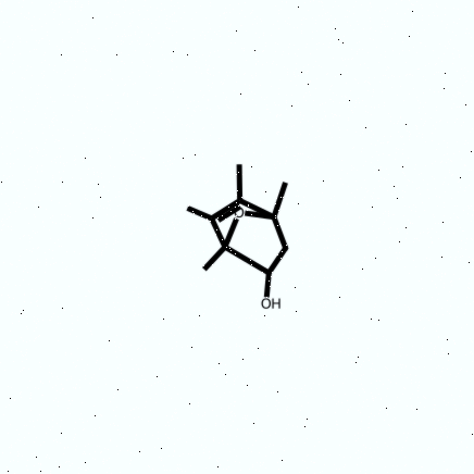 CC1=C(C)C2(C)OC1(C)CC2O